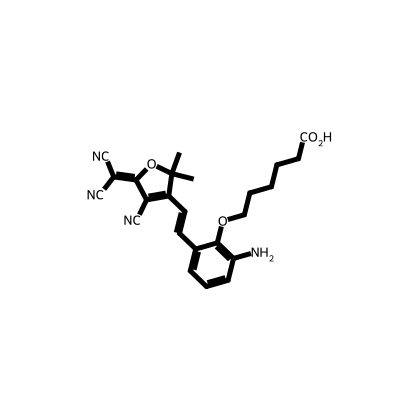 CC1(C)OC(=C(C#N)C#N)C(C#N)=C1C=Cc1cccc(N)c1OCCCCCC(=O)O